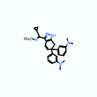 CON=C(c1n[nH]c2c1C=CC(c1cccc(N(C)C)c1)(c1cccc(N(C)C)c1)C2)C1CC1